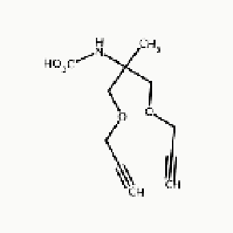 C#CCOCC(C)(COCC#C)NC(=O)O